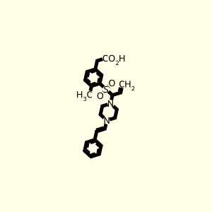 C=CC(N1CCN(C=Cc2ccccc2)CC1)S(=O)(=O)c1cc(CC(=O)O)ccc1C